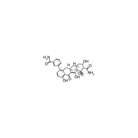 NC(=O)c1cccc(-c2ccc(O)c3c2C[C@H]2C[C@H]4CC(O)C(C(N)=O)C(=O)[C@@]4(O)C(O)=C2C3=O)c1